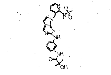 CN(c1ncccc1Cn1ccc2cnc(Nc3cccc(NC(=O)C(C)(C)O)c3)nc21)S(C)(=O)=O